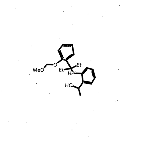 CCC(CC)(Pc1ccccc1C(C)O)c1ccccc1OCOC